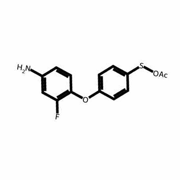 CC(=O)OSc1ccc(Oc2ccc(N)cc2F)cc1